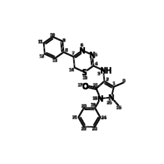 Cc1c(NC2=NN=C(c3ccccc3)CS2)c(=O)n(-c2ccccc2)n1C